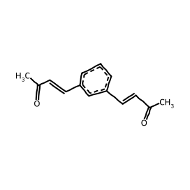 CC(=O)/C=C/c1cccc(/C=C/C(C)=O)c1